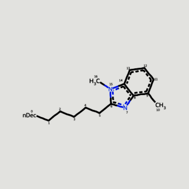 CCCCCCCCCCCCCCCc1nc2c(C)cccc2n1C